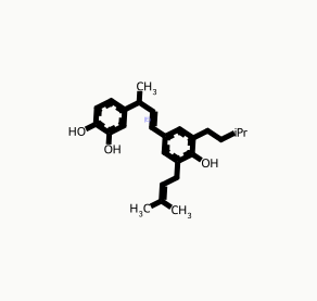 CC(C)=CCc1cc(/C=C/C(C)c2ccc(O)c(O)c2)cc(CCC(C)C)c1O